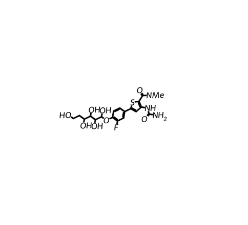 CNC(=O)c1sc(-c2ccc(OC(O)C(O)C(O)C(O)CCO)c(F)c2)cc1NC(N)=O